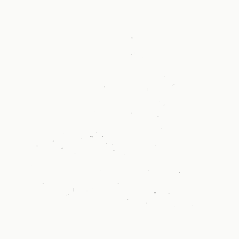 CC(C)(C)c1cc2c(c3ccccc13)-c1cccc3c(C(C)(C)C)ccc(c13)C21c2ccccc2-c2ccc(N(c3cccc(-c4ccccc4)c3)c3ccc4c(c3)C(C)(C)c3ccccc3-4)cc21